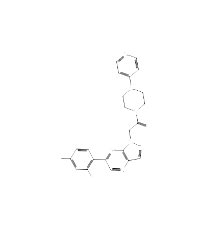 Cc1ccc(-c2cnc3cnn(CC(=O)N4CCN(c5ccncc5)CC4)c3n2)c(F)c1